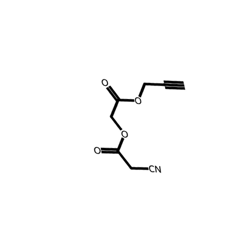 C#CCOC(=O)COC(=O)CC#N